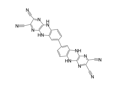 N#Cc1nc2c(nc1C#N)Nc1cc(-c3ccc4c(c3)Nc3nc(C#N)c(C#N)nc3N4)ccc1N2